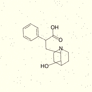 O=C(O)C(CC1C(O)C2CCN1CC2)c1ccccc1